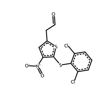 O=CCc1cc([N+](=O)[O-])c(Sc2c(Cl)cccc2Cl)s1